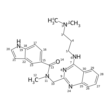 CN(C)CCCNc1nc(CN(C)C(=O)c2ccc3[nH]ccc3c2)nc2ccccc12